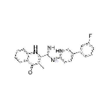 Cc1c(C(=N)/N=c2/ccc(-c3cccc(F)c3)c[nH]2)[nH]c2ccccc2c1=O